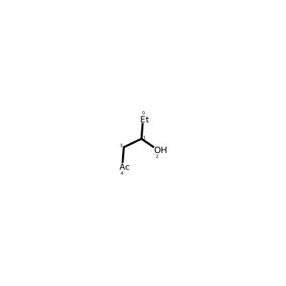 CCC(O)CC(C)=O